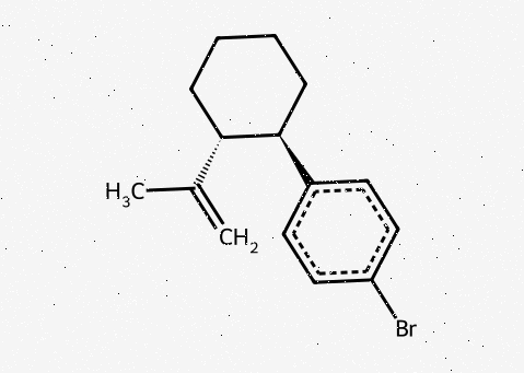 C=C(C)[C@@H]1CCCC[C@H]1c1ccc(Br)cc1